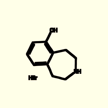 Br.Oc1cccc2c1CCNCC2